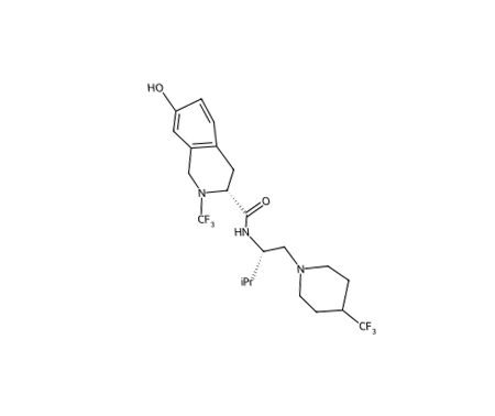 CC(C)[C@@H](CN1CCC(C(F)(F)F)CC1)NC(=O)[C@H]1Cc2ccc(O)cc2CN1C(F)(F)F